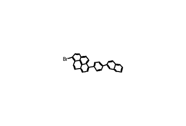 Brc1ccc2ccc3c(-c4ccc(-c5ccc6ccccc6c5)cc4)ccc4ccc1c2c43